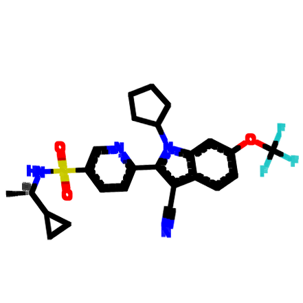 C[C@H](NS(=O)(=O)c1ccc(-c2c(C#N)c3ccc(OC(F)(F)F)cc3n2C2CCCC2)nc1)C1CC1